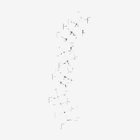 FC(F)C(F)(F)C(F)(F)C(F)(F)CC(F)(F)C(F)(F)OC(F)(F)C(F)(F)CC(F)(F)C(F)(F)C(F)(F)C(F)F